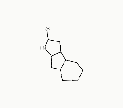 CC(=O)C1CC2C(CC3CCCCC32)N1